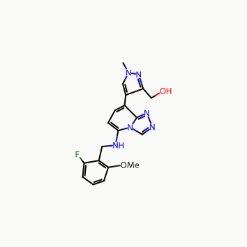 COc1cccc(F)c1CNc1ccc(-c2cn(C)nc2CO)c2nncn12